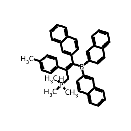 Cc1ccc(/C(C[PH](C)(C)C)=C(/B(c2ccc3ccccc3c2)c2ccc3ccccc3c2)c2ccc3ccccc3c2)cc1